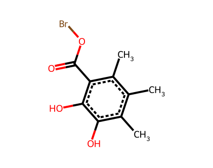 Cc1c(C)c(O)c(O)c(C(=O)OBr)c1C